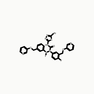 CC(C)c1nnc(NC(=O)N(c2ccc(F)c(COc3cccnc3)c2)N(F)c2cccc(COc3cccnc3)c2)s1